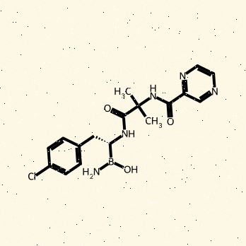 CC(C)(NC(=O)c1cnccn1)C(=O)N[C@@H](Cc1ccc(Cl)cc1)B(N)O